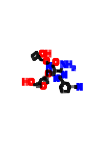 N#Cc1cccc(-c2nc(N)c(C(=O)NOCC3(O)CCC3)c(O[C@H]3CO[C@@H](CO)C3)n2)c1